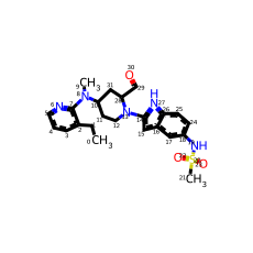 CCc1cccnc1N(C)C1CCN(c2cc3cc(NS(C)(=O)=O)ccc3[nH]2)C(C=O)C1